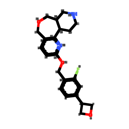 Fc1cc(C2COC2)ccc1COc1ccc2c(n1)C1CCNCC1COC2